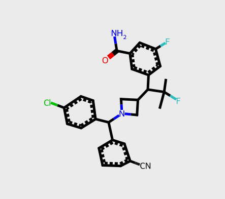 CC(C)(F)C(c1cc(F)cc(C(N)=O)c1)C1CN(C(c2ccc(Cl)cc2)c2cccc(C#N)c2)C1